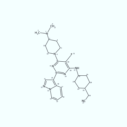 CN(C)C1CCN(c2nc(-c3cnn4ccccc34)nc(NC3CCC(CC#N)CC3)c2F)CC1